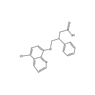 O=C(S)CC(COc1ccc(Cl)c2cccnc12)c1ccccc1